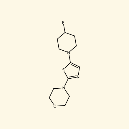 FC1CCN(c2cnc(N3CCOCC3)s2)CC1